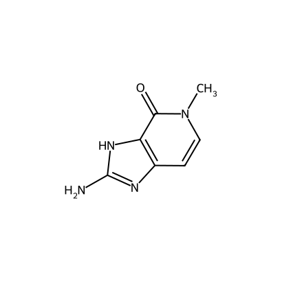 Cn1ccc2nc(N)[nH]c2c1=O